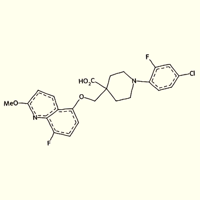 COc1ccc2c(OCC3(C(=O)O)CCN(c4ccc(Cl)cc4F)CC3)ccc(F)c2n1